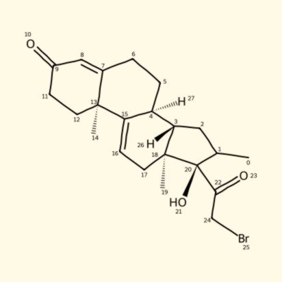 CC1C[C@H]2[C@@H]3CCC4=CC(=O)CC[C@]4(C)C3=CC[C@]2(C)[C@@]1(O)C(=O)CBr